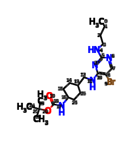 CCCCNc1ncc(Br)c(NCC2CCC(NC(=O)OC(C)(C)C)CC2)n1